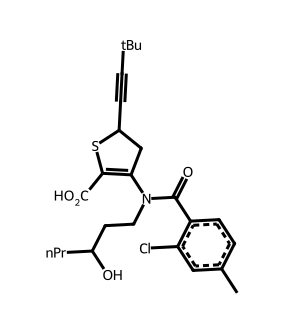 CCCC(O)CCN(C(=O)c1ccc(C)cc1Cl)C1=C(C(=O)O)SC(C#CC(C)(C)C)C1